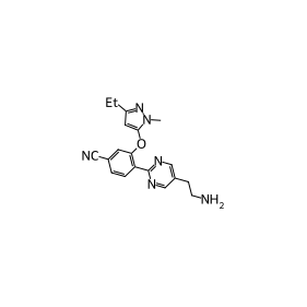 CCc1cc(Oc2cc(C#N)ccc2-c2ncc(CCN)cn2)n(C)n1